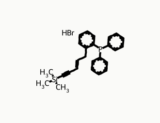 Br.C[Si](C)(C)C#C/C=C/Cc1ccccc1P(c1ccccc1)c1ccccc1